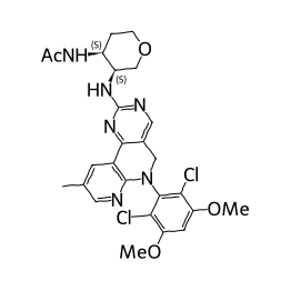 COc1cc(OC)c(Cl)c(N2Cc3cnc(N[C@@H]4COCC[C@@H]4NC(C)=O)nc3-c3cc(C)cnc32)c1Cl